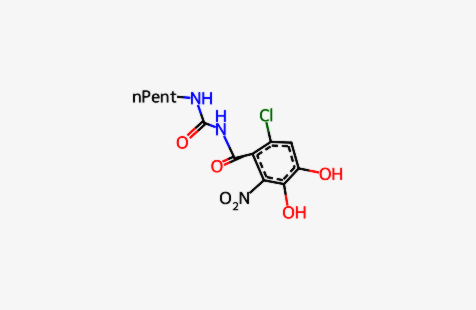 CCCCCNC(=O)NC(=O)c1c(Cl)cc(O)c(O)c1[N+](=O)[O-]